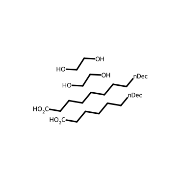 CCCCCCCCCCCCCCCC(=O)O.CCCCCCCCCCCCCCCCCC(=O)O.OCCO.OCCO